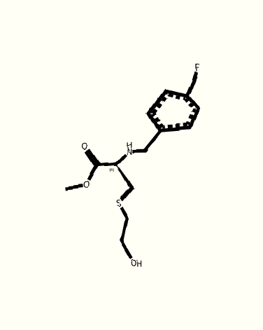 COC(=O)[C@H](CSCCO)NCc1ccc(F)cc1